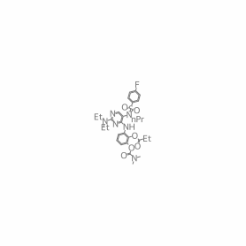 CCCN(c1cnc(N(CC)CC)nc1Nc1cccc(OC(=O)N(C)C)c1OC(=O)CC)S(=O)(=O)c1ccc(F)cc1